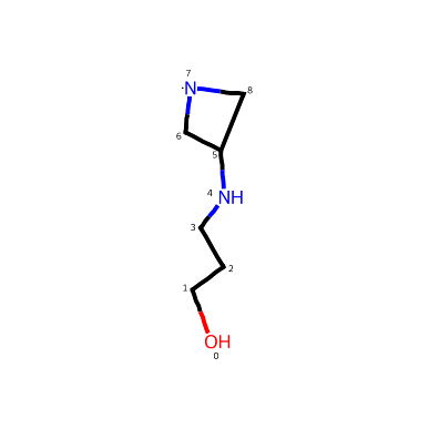 OCCCNC1C[N]C1